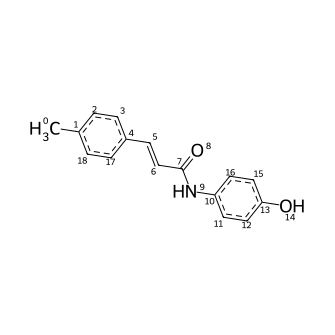 Cc1ccc(C=CC(=O)Nc2ccc(O)cc2)cc1